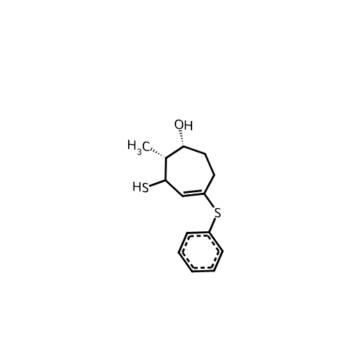 C[C@H]1C(S)C=C(Sc2ccccc2)CC[C@H]1O